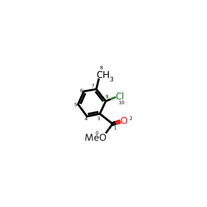 COC(=O)c1cccc(C)c1Cl